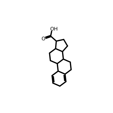 O=C(O)C1CCC2C1CCC1C3C=CCC=C3CCC12